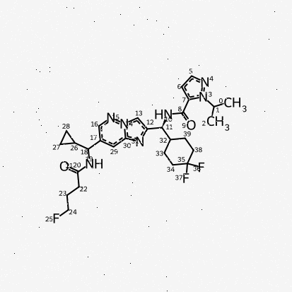 CC(C)n1nccc1C(=O)N[C@H](c1cn2ncc(C(NC(=O)CCCF)C3CC3)cc2n1)C1CCC(F)(F)CC1